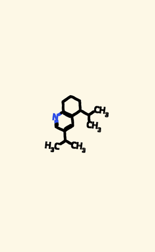 CC(C)c1cnc2c(c1)C(C(C)C)CCC2